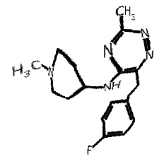 Cc1nnc(Cc2ccc(F)cc2)c(NC2CCN(C)CC2)n1